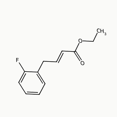 CCOC(=O)C=CCc1ccccc1F